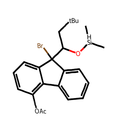 CC(=O)Oc1cccc2c1-c1ccccc1C2(Br)C(CC(C)(C)C)O[SiH](C)C